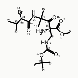 COC(=O)[C@](N)(CNC(=O)OC(C)(C)C)C(=O)C(C)(C)NC(=O)[C@H](Br)C(C)C